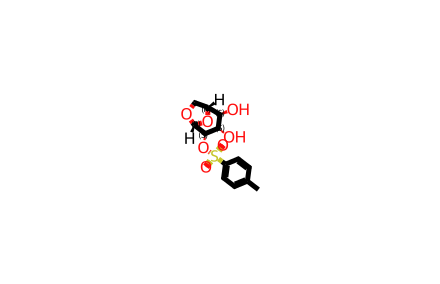 Cc1ccc(S(=O)(=O)O[C@@H]2[C@@H]3OC[C@@H](O3)[C@@H](O)[C@@H]2O)cc1